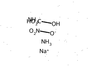 N.N.O=C(O)O.O=[N+]([O-])[O-].[Na+]